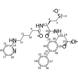 C[S+]([O-])CC[C@H](NC(=O)CCCCNc1ccccn1)C(=O)NC(CC(=O)O)c1ccc(-c2ccccc2)cc1